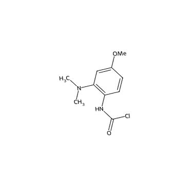 COc1ccc(NC(=O)Cl)c(N(C)C)c1